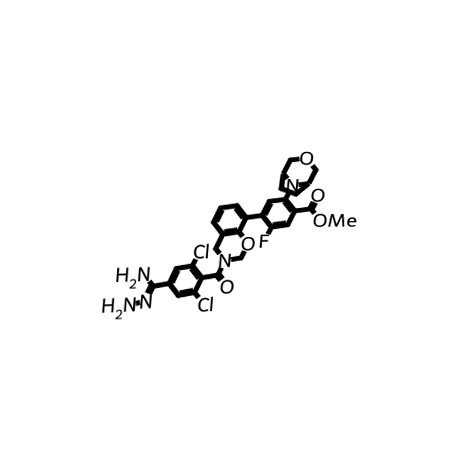 COC(=O)c1cc(F)c(-c2cccc3c2OCN(C(=O)c2c(Cl)cc(/C(N)=N/N)cc2Cl)C3)cc1N1C2CCC1COC2